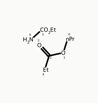 CCCOC(=O)CC.CCOC(N)=O